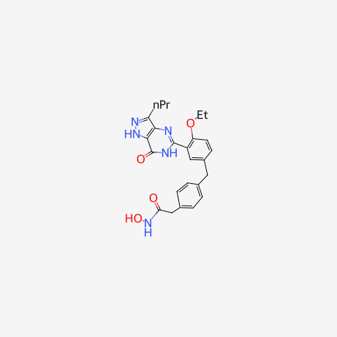 CCCc1n[nH]c2c(=O)[nH]c(-c3cc(Cc4ccc(CC(=O)NO)cc4)ccc3OCC)nc12